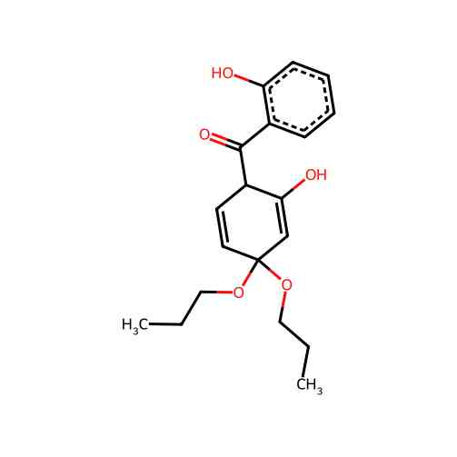 CCCOC1(OCCC)C=CC(C(=O)c2ccccc2O)C(O)=C1